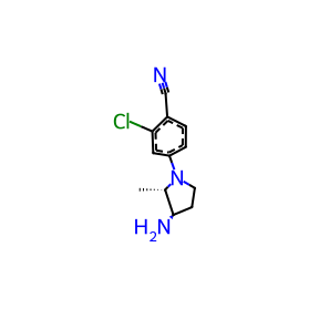 C[C@H]1[C@H](N)CCN1c1ccc(C#N)c(Cl)c1